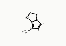 CC1=C2OCCC2N=C1